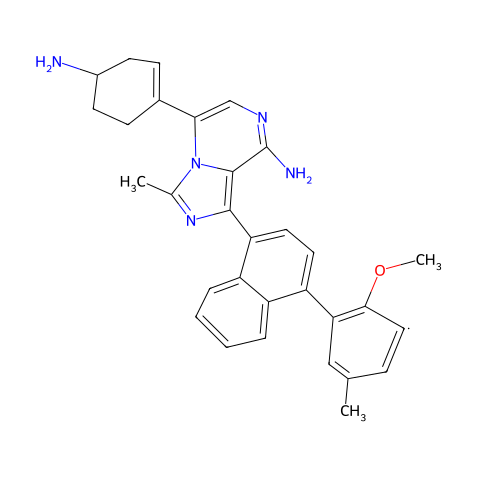 COc1[c]cc(C)cc1-c1ccc(-c2nc(C)n3c(C4=CCC(N)CC4)cnc(N)c23)c2ccccc12